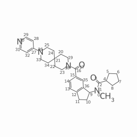 CN(C(=O)C1CCCC1)C1CCc2ccc(C(=O)N3CCC4(CC3)CCN(c3ccncc3)CC4)cc21